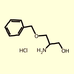 Cl.NC(CO)COCc1ccccc1